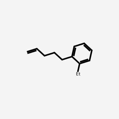 C=CCCCc1ccccc1CC